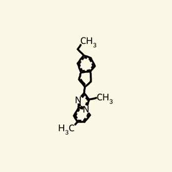 CCc1ccc2c(c1)C=C(c1nc3cc(C)ccn3c1C)C2